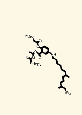 CCCCCCCCCCCC(=O)Oc1ccc(NCCCCCCC(C)CCCC(C)CC(C)CC)cc1C(=O)OC(C)OC(=O)CCCCCCC